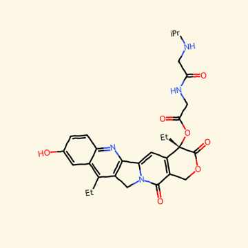 CCc1c2c(nc3ccc(O)cc13)-c1cc3c(c(=O)n1C2)COC(=O)[C@@]3(CC)OC(=O)CNC(=O)CNC(C)C